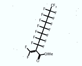 COC(=O)C(=C(F)F)C(F)(F)C(F)(F)C(F)(F)C(F)(F)C(F)(F)C(F)(F)C(F)(F)C(F)(F)F